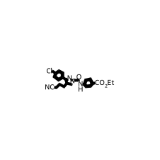 CCOC(=O)c1ccc(NC(=O)N2CC(CCCC#N)C(c3ccc(Cl)cc3)=N2)cc1